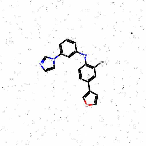 O=[N+]([O-])c1cc(-c2ccoc2)ccc1Nc1cccc(-n2ccnc2)c1